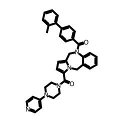 Cc1ccccc1-c1ccc(C(=O)N2Cc3ccc(C(=O)N4CCN(c5ccncc5)CC4)n3Cc3ccccc32)cc1